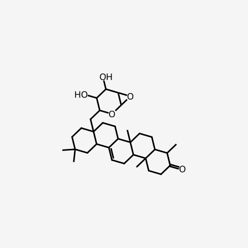 CC1C(=O)CCC2(C)C1CCC1(C)C3CCC4(CC5OC6OC6C(O)C5O)CCC(C)(C)CC4C3=CCC12